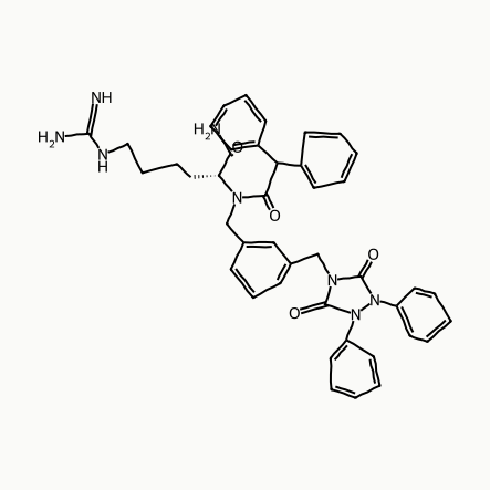 N=C(N)NCCCC[C@H](C(N)=O)N(Cc1cccc(Cn2c(=O)n(-c3ccccc3)n(-c3ccccc3)c2=O)c1)C(=O)C(c1ccccc1)c1ccccc1